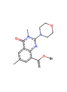 C=C(OCC)c1cc(C)cc2c(=O)n(C)c(N3CCOCC3)nc12